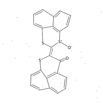 O=c1/c(=c2/sc3cccc4cccc(c43)[s+]2[O-])sc2cccc3cccc1c32